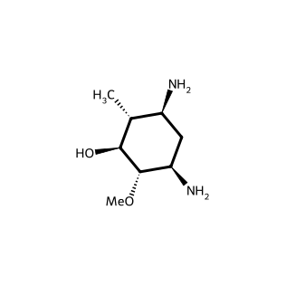 CO[C@@H]1[C@@H](O)[C@H](C)[C@@H](N)C[C@H]1N